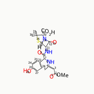 COC(=O)/C=C(\C)NC(C(=O)NC1C(=O)N2[C@@H]1SC(C)(C)[C@@H]2C(=O)O)c1ccc(O)cc1